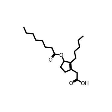 CCCCCCCC(=O)OC1CCC(CC(=O)O)=C1CCCCC